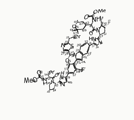 COC(=O)NC(C(=O)N1C(C)[C@H](C)C[C@H]1c1ncc(-c2ccc3c(c2)cc2n3C(c3cnc(CC(C)C)s3)Oc3cc(-c4cnc([C@@H]5CCCN5C(=O)[C@@H](NC(=O)OC)C(C)C)[nH]4)cc(F)c3-2)[nH]1)C1CCOC(C)(C)C1